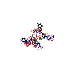 CC(C)CC(C)(N[P@@](=O)(OC[C@H]1O[C@@H](n2ccc(=O)[nH]c2=O)[C@@](F)(Br)[C@@H]1O)Oc1ccccc1)C(=O)OCCOC(=O)C(C)N[P@](=O)(OC[C@H]1O[C@@H](n2ccc(=O)[nH]c2=O)[C@@](F)(Br)[C@@H]1O)Oc1ccccc1